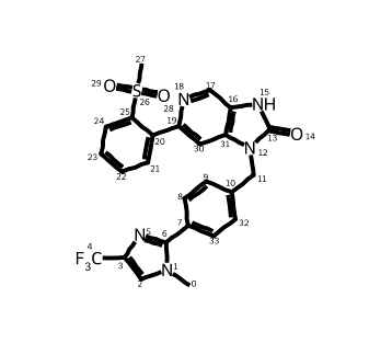 Cn1cc(C(F)(F)F)nc1-c1ccc(Cn2c(=O)[nH]c3cnc(-c4ccccc4S(C)(=O)=O)cc32)cc1